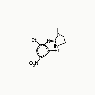 CCc1cc([N+](=O)[O-])cc(CC)c1N=C1NCCN1